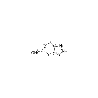 O=CC1=NC=C2N=NC=C2C1